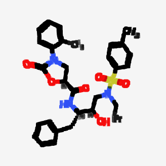 Cc1ccc(S(=O)(=O)N(CC(C)C)C[C@@H](O)[C@H](Cc2ccccc2)NC(=O)[C@@H]2CN(c3ccccc3C(F)(F)F)C(=O)O2)cc1